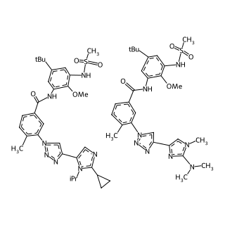 COc1c(NC(=O)c2ccc(C)c(-n3cc(-c4cn(C)c(N(C)C)n4)nn3)c2)cc(C(C)(C)C)cc1NS(C)(=O)=O.COc1c(NC(=O)c2ccc(C)c(-n3cc(-c4cnc(C5CC5)n4C(C)C)nn3)c2)cc(C(C)(C)C)cc1NS(C)(=O)=O